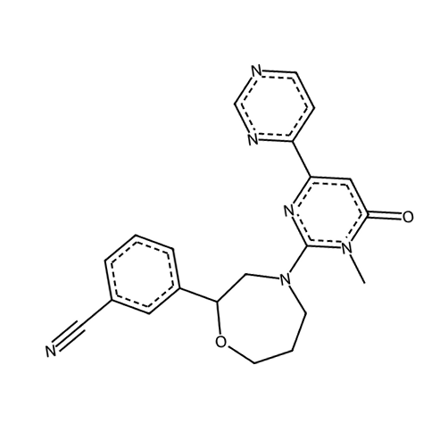 Cn1c(N2CCCOC(c3cccc(C#N)c3)C2)nc(-c2ccncn2)cc1=O